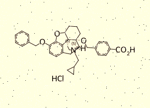 Cl.O=C(O)c1ccc(CO[C@@]23CCCC4Oc5c(OCc6ccccc6)ccc6c5[C@@]42CCN(CC2CC2)[C@@H]3C6)cc1